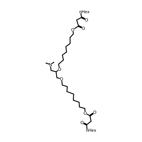 CCCCCCC(=O)CC(=O)OCCCCCCCCOCC(CN(C)C)OCCCCCCCCOC(=O)CC(=O)CCCCCC